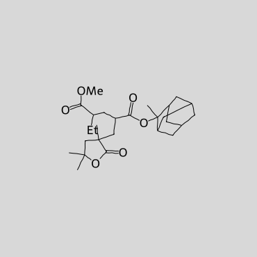 CCC(CC(CC1(C)CC(C)(C)OC1=O)C(=O)OC1(C)C2CC3CC(C2)CC1C3)C(=O)OC